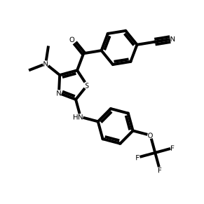 CN(C)c1nc(Nc2ccc(OC(F)(F)F)cc2)sc1C(=O)c1ccc(C#N)cc1